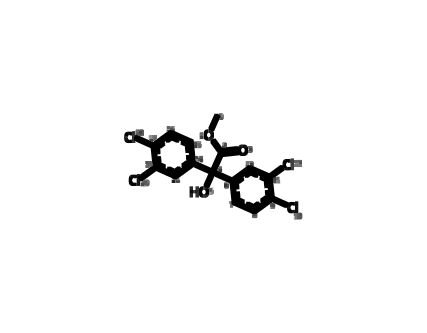 COC(=O)C(O)(c1ccc(Cl)c(Cl)c1)c1ccc(Cl)c(Cl)c1